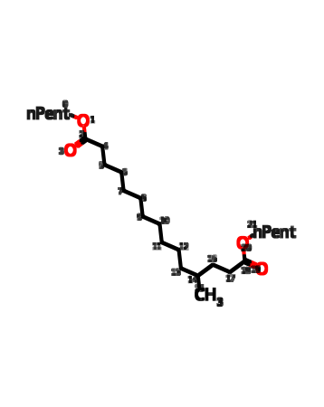 CCCCCOC(=O)CCCCCCCCCCC(C)CCC(=O)OCCCCC